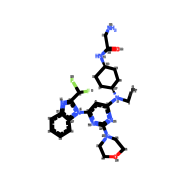 CC(C)CN(c1cc(-n2c(C(F)F)nc3ccccc32)nc(N2CCOCC2)n1)[C@H]1CC[C@H](NC(=O)CN)CC1